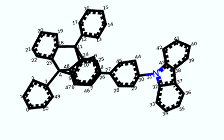 c1ccc(C23c4ccccc4C(c4ccccc4)(c4ccccc42)c2cc(-c4ccc(-n5c6ccccc6c6ccccc65)cc4)ccc23)cc1